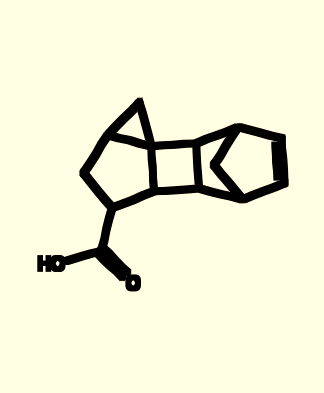 O=C(O)C1CC2CC23C2C4C=CC(C4)C2C13